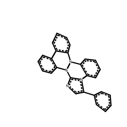 c1ccc(-c2cnc3n2-c2ccccc2N2B3c3ccccc3-c3ccccc32)cc1